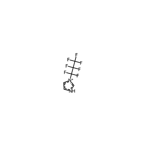 FC(F)(F)C(F)(F)C(F)(F)[n+]1cc[nH]c1